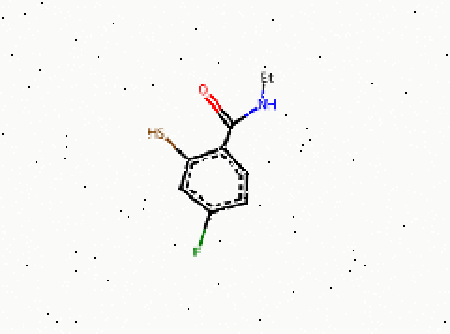 CCNC(=O)c1ccc(F)cc1S